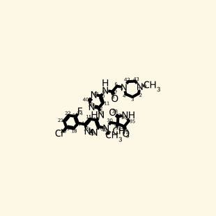 CN1CCCN(CC(=O)Nc2cc(Nc3cc(-c4cc(Cl)ccc4F)nnc3N(C)CC3(C)C(=O)CNC3=O)ncn2)CC1